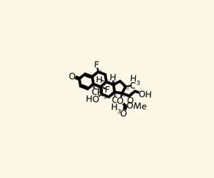 COC(=O)O[C@]1(C(=O)CO)[C@H](C)C[C@H]2[C@@H]3C[C@H](F)C4=CC(=O)C=C[C@]4(C)[C@@]3(F)[C@@H](O)C[C@@]21C